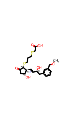 COCc1cccc(C[C@H](O)/C=C/[C@H]2[C@H](O)CC(=O)[C@@H]2SCCCSCC(=O)O)c1